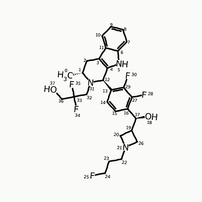 C[C@@H]1Cc2c([nH]c3ccccc23)[C@@H](c2ccc([C@@H](O)C3CN(CCCF)C3)c(F)c2F)N1CC(F)(F)CO